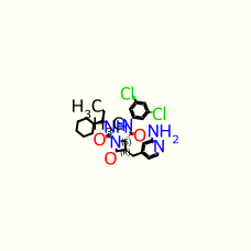 CCC(NC(=O)N1C(=O)[C@H](Cc2ccnc(N)c2)[C@H]1C(=O)N(C)c1cc(Cl)cc(Cl)c1)C1CCCCC1